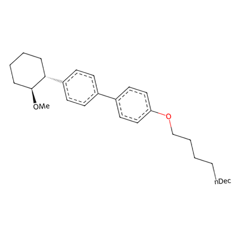 CCCCCCCCCCCCCCOc1ccc(-c2ccc([C@H]3CCCC[C@@H]3OC)cc2)cc1